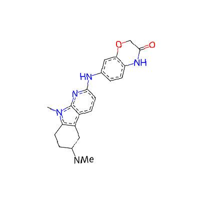 CNC1CCc2c(c3ccc(Nc4ccc5c(c4)OCC(=O)N5)nc3n2C)C1